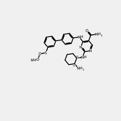 COOSc1cccc(-c2ccc(Nc3nc(N[C@@H]4CCCC[C@@H]4N)ncc3C(N)=O)cc2)c1